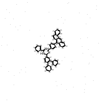 N=C(NC(/N=C/c1ccc(-c2c3ccccc3cc3c2ccc2ccccc23)cc1)c1ccc(-c2ccccc2)c(-c2ccccc2)c1)c1ccccc1